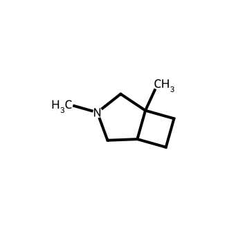 CN1CC2CCC2(C)C1